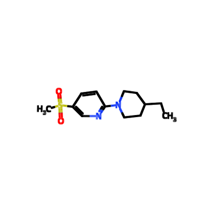 CCC1CCN(c2ccc(S(C)(=O)=O)cn2)CC1